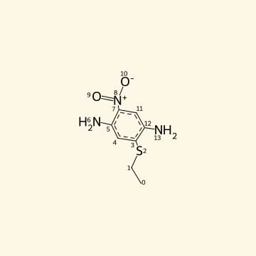 CCSc1cc(N)c([N+](=O)[O-])cc1N